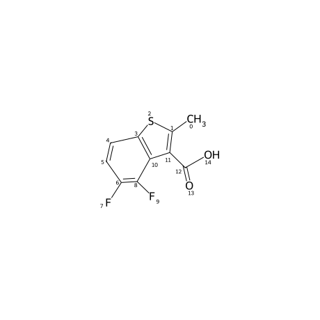 Cc1sc2ccc(F)c(F)c2c1C(=O)O